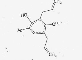 C=CCc1cc(C(C)=O)c(O)c(CC=C)c1O